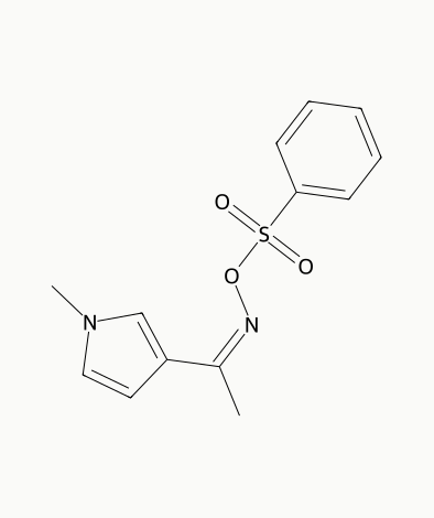 CC(=NOS(=O)(=O)c1ccccc1)c1ccn(C)c1